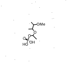 COC(C)C(C)OC(C)OP(=O)(O)O